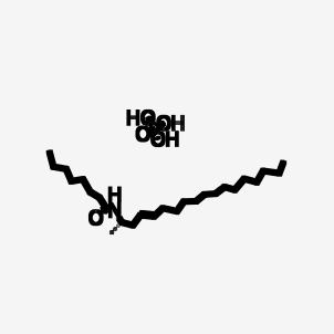 CCCCCCCCCCCCCC=CC[C@H](C)NC(=O)CCCCCCC.O=P(O)(O)O